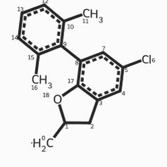 [CH2]C1Cc2cc(Cl)cc(-c3c(C)cccc3C)c2O1